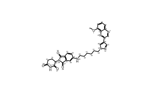 COc1cccc2ncc(-c3cnn(CCCCCCNc4ccc5c(c4)C(=O)N(C4CCC(=O)NC4=O)C5=O)c3)nc12